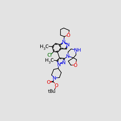 Cc1cc2c(cnn2C2CCCCO2)c(-c2c(N3CCNCC34CCOC4)nn(C3CCN(C(=O)OC(C)(C)C)CC3)c2C)c1Cl